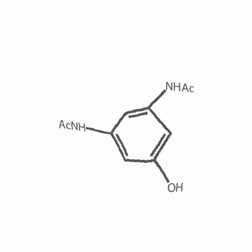 CC(=O)Nc1cc(O)cc(NC(C)=O)c1